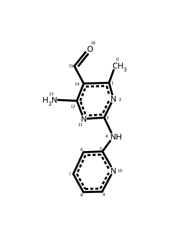 Cc1nc(Nc2ccccn2)nc(N)c1C=O